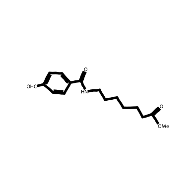 COC(=O)CCCCCCNC(=O)c1ccc(C=O)cc1